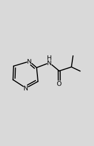 CC(C)C(=O)Nc1cnccn1